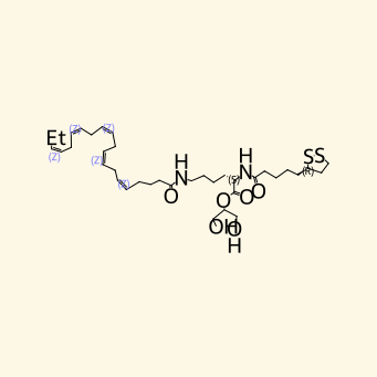 CC/C=C\C/C=C\C/C=C\C/C=C\C/C=C\CCCC(=O)NCCCC[C@H](NC(=O)CCCC[C@@H]1CCSS1)C(=O)OC(CO)CO